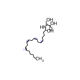 CCCCC/C=C\C/C=C\C/C=C\C/C=C\CCCC(O)N[C@@H](CO)C(=O)O